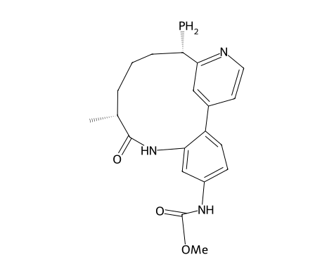 COC(=O)Nc1ccc2c(c1)NC(=O)[C@H](C)CCC[C@H](P)c1cc-2ccn1